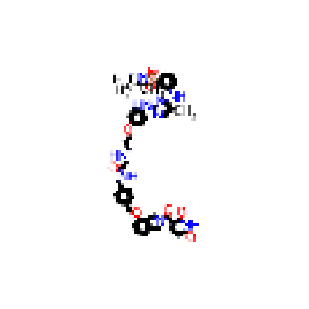 Cc1cnc(Nc2ccc(OCCCNCC(=O)NCc3ccc(COc4cccc5c4CN(C(=O)C4CCC(=O)NC4=O)C5)cc3)cc2)nc1Nc1cccc(S(=O)(=O)NC(C)(C)C)c1